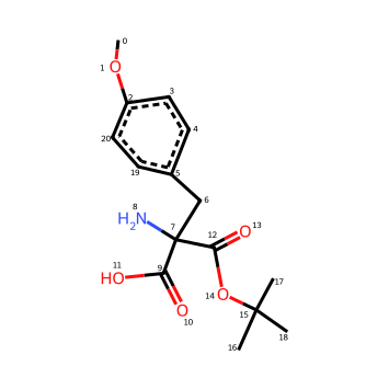 COc1ccc(CC(N)(C(=O)O)C(=O)OC(C)(C)C)cc1